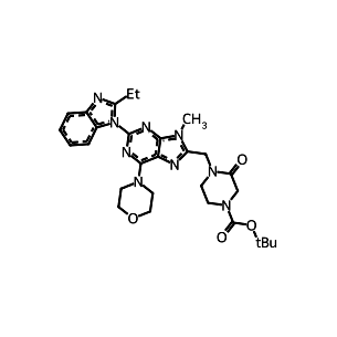 CCc1nc2ccccc2n1-c1nc(N2CCOCC2)c2nc(CN3CCN(C(=O)OC(C)(C)C)CC3=O)n(C)c2n1